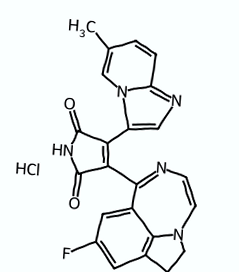 Cc1ccc2ncc(C3=C(C4=NC=CN5CCc6cc(F)cc4c65)C(=O)NC3=O)n2c1.Cl